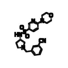 N#Cc1cccc(CN2CCC(NS(=O)(=O)c3ccc(N4CCOCC4)nc3)C2)c1